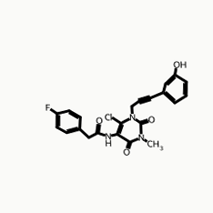 Cn1c(=O)c(NC(=O)Cc2ccc(F)cc2)c(Cl)n(CC#Cc2cccc(O)c2)c1=O